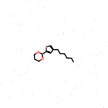 CCCCCCc1csc(B2OCCCO2)c1